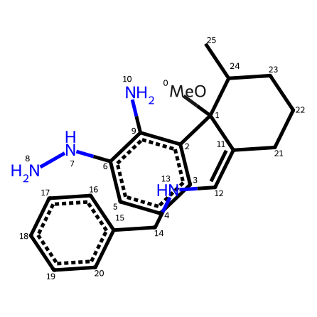 COC1(c2cccc(NN)c2N)/C(=C\NCc2ccccc2)CCCC1C